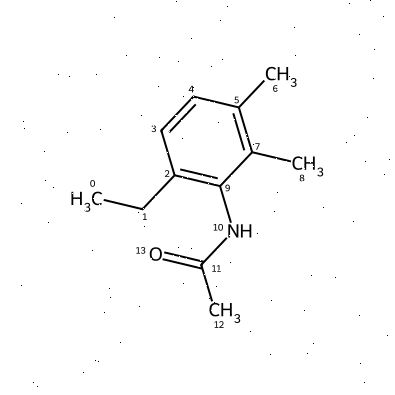 CCc1ccc(C)c(C)c1NC(C)=O